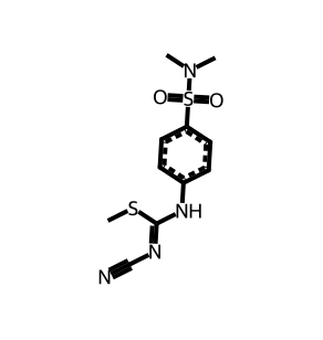 CS/C(=N\C#N)Nc1ccc(S(=O)(=O)N(C)C)cc1